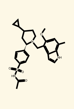 COc1cc(C)c2[nH]ccc2c1CN1CCC(C2CC2)C[C@H]1c1ccc(S(=O)(=O)NC(C)=O)cc1